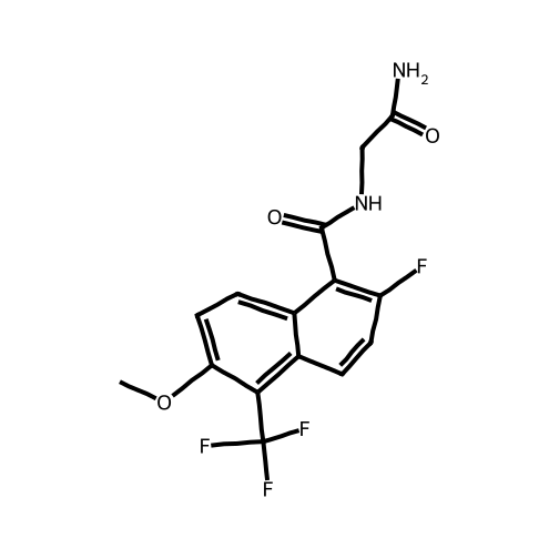 COc1ccc2c(C(=O)NCC(N)=O)c(F)ccc2c1C(F)(F)F